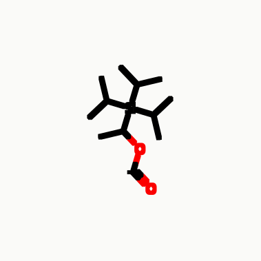 CC(C)[Si](C(C)C)(C(C)C)C(C)O[C]=O